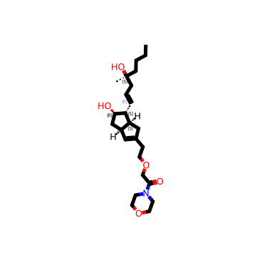 CCCC[C@](C)(O)C/C=C/[C@@H]1[C@H]2CC(CCOCC(=O)N3CCOCC3)=C[C@H]2C[C@H]1O